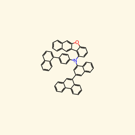 c1ccc2cc3c(cc2c1)oc1cccc(N(c2ccc(-c4cccc5ccccc45)cc2)c2cc(-c4cc5ccccc5c5ccccc45)cc4ccccc24)c13